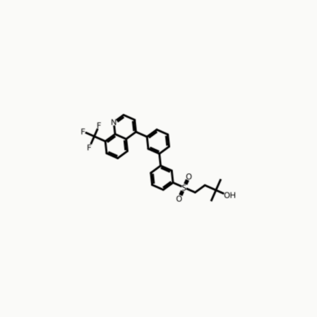 CC(C)(O)CCS(=O)(=O)c1cccc(-c2cccc(-c3ccnc4c(C(F)(F)F)cccc34)c2)c1